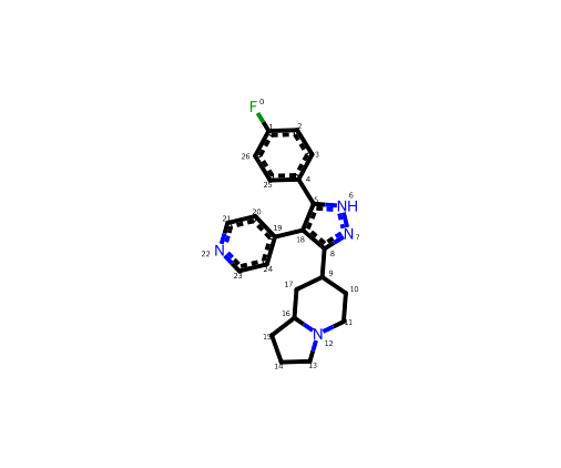 Fc1ccc(-c2[nH]nc(C3CCN4CCCC4C3)c2-c2ccncc2)cc1